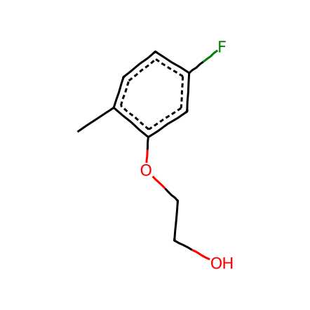 Cc1ccc(F)cc1OCCO